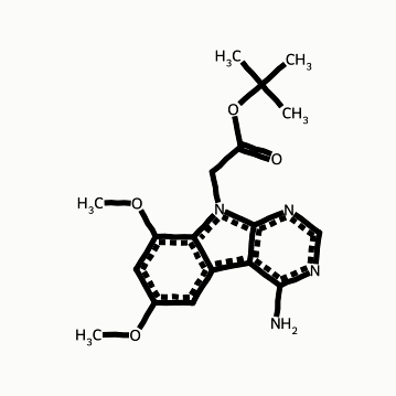 COc1cc(OC)c2c(c1)c1c(N)ncnc1n2CC(=O)OC(C)(C)C